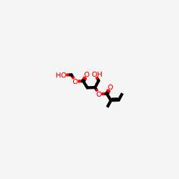 CC=C(C)C(=O)OC(CO)CC(=O)OCO